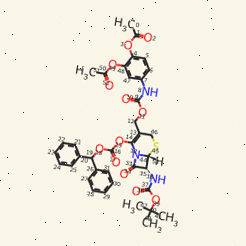 CC(=O)Oc1ccc(NC(=O)OCC2=C(OC(=O)OC(c3ccccc3)c3ccccc3)N3C(=O)[C@@H](NC(=O)OC(C)(C)C)[C@H]3SC2)cc1OC(C)=O